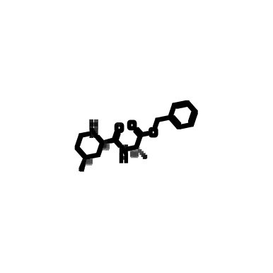 C[C@H]1CCN[C@@H](C(=O)N[C@@H](C)C(=O)OCc2ccccc2)C1